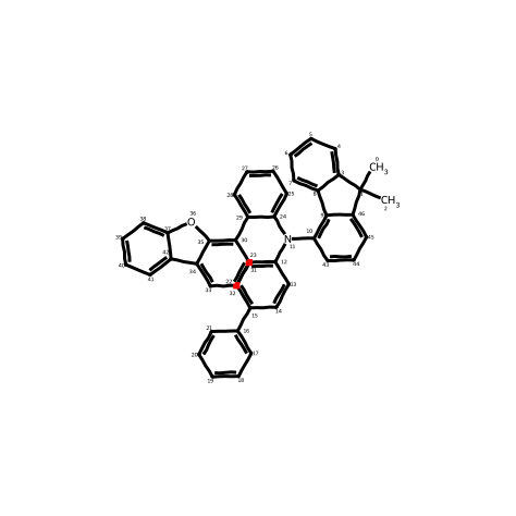 CC1(C)c2ccccc2-c2c(N(c3ccc(-c4ccccc4)cc3)c3ccccc3-c3cccc4c3oc3ccccc34)cccc21